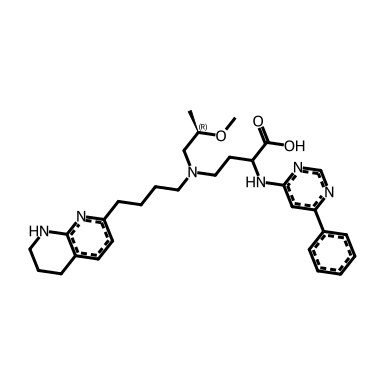 CO[C@H](C)CN(CCCCc1ccc2c(n1)NCCC2)CCC(Nc1cc(-c2ccccc2)ncn1)C(=O)O